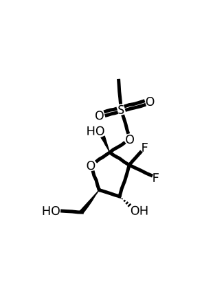 CS(=O)(=O)O[C@@]1(O)O[C@H](CO)[C@@H](O)C1(F)F